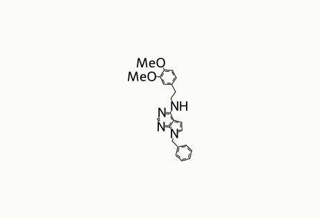 COc1ccc(CCNc2ncnc3c2ccn3Cc2ccccc2)cc1OC